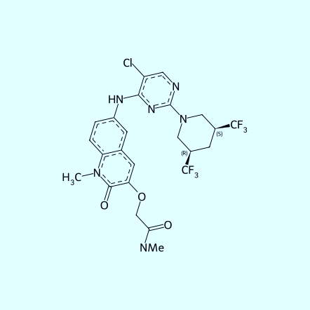 CNC(=O)COc1cc2cc(Nc3nc(N4C[C@H](C(F)(F)F)C[C@H](C(F)(F)F)C4)ncc3Cl)ccc2n(C)c1=O